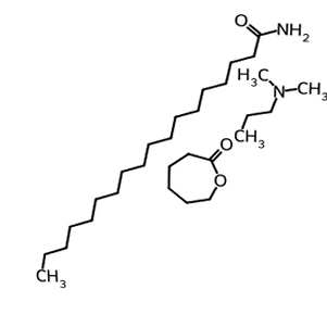 CCCCCCCCCCCCCCCCCC(N)=O.CCCN(C)C.O=C1CCCCCO1